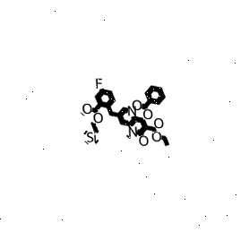 CCOC(=O)c1c(OC(=O)c2ccccc2)c2ncc(Cc3ccc(F)cc3C(OC)OCC[Si](C)(C)C)cc2n(C)c1=O